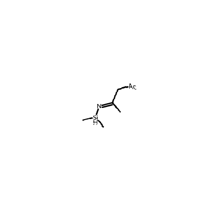 CC(=O)C/C(C)=N/[SiH](C)C